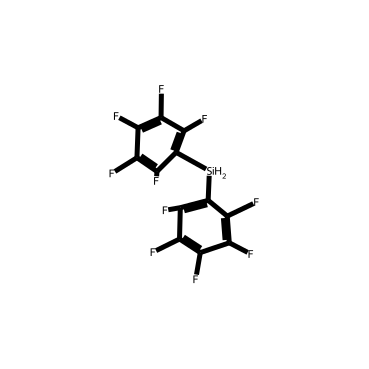 Fc1c(F)c(F)c([SiH2]c2c(F)c(F)c(F)c(F)c2F)c(F)c1F